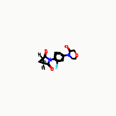 O=C1COCCN1c1ccc(N2C(=O)[C@H]3C[C@@H]3C2=O)c(F)c1